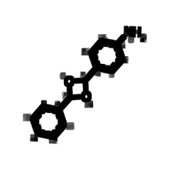 Nc1ccc(C2OC(c3ccccc3)O2)cc1